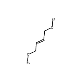 CCOC/C=C/COCC